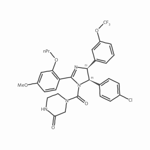 CCCOc1cc(OC)ccc1C1=N[C@@H](c2cccc(OC(F)(F)F)c2)[C@@H](c2ccc(Cl)cc2)N1C(=O)N1CCNC(=O)C1